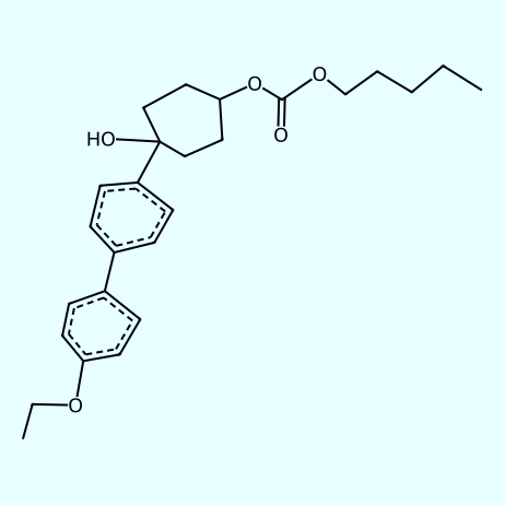 CCCCCOC(=O)OC1CCC(O)(c2ccc(-c3ccc(OCC)cc3)cc2)CC1